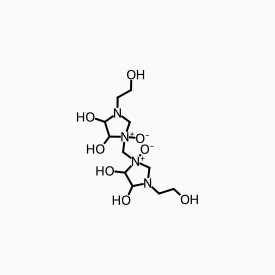 [O-][N+]1(C[N+]2([O-])CN(CCO)C(O)C2O)CN(CCO)C(O)C1O